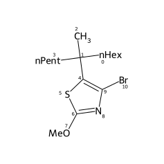 CCCCCCC(C)(CCCCC)c1sc(OC)nc1Br